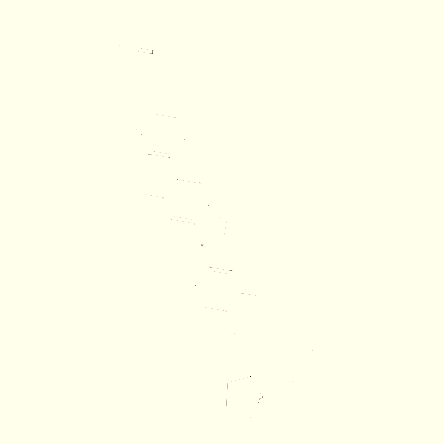 CCC(CC)(c1ccc(C#CC2(O[Si](C)(C)C)CCCC2)c(C)c1)c1ccc(-c2ccc(COC(C)=O)nc2)c(C)c1